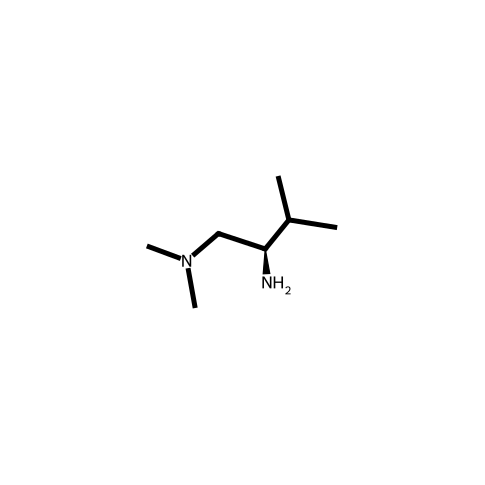 CC(C)[C@@H](N)CN(C)C